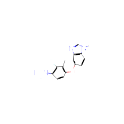 Cc1c(Oc2ccc3c(c2)ncn3C)ccc(N)c1F